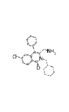 NCc1c(-c2ccccc2)c2cc(Cl)ccc2c(=O)n1CC1CCCCC1